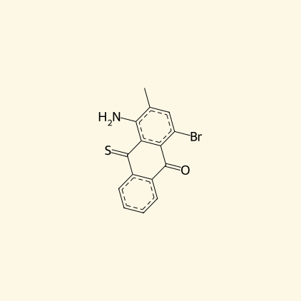 Cc1cc(Br)c2c(c1N)C(=S)c1ccccc1C2=O